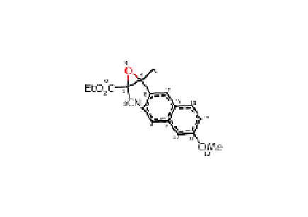 CCOC(=O)C1(C#N)OC1(C)c1ccc2cc(OC)ccc2c1